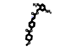 COC1CCC(C(=O)Oc2ccc(/C=C/C(=O)OCc3cc(N)ccc3N)cc2)CC1